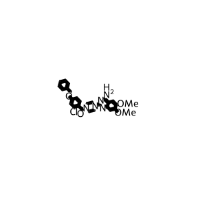 COc1cc2nc(N3CCN(C(=O)c4ccc(OCc5ccccc5)cc4Cl)CC3)nc(N)c2cc1OC